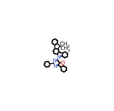 CC1(C)c2ccccc2-c2ccc3c(c21)c1ccccc1n3-c1nc(-c2ccccc2)nc2c1oc1ccccc12